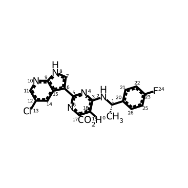 C[C@H](Nc1nc(-c2c[nH]c3ncc(Cl)cc23)ncc1C(=O)O)c1ccc(F)cc1